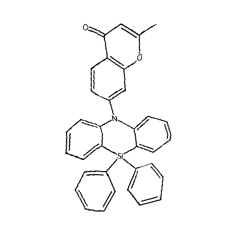 Cc1cc(=O)c2ccc(N3c4ccccc4[Si](c4ccccc4)(c4ccccc4)c4ccccc43)cc2o1